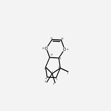 CC1(C)C2CCC1(C)C1OC=COC21